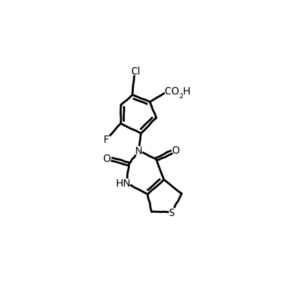 O=C(O)c1cc(-n2c(=O)[nH]c3c(c2=O)CSC3)c(F)cc1Cl